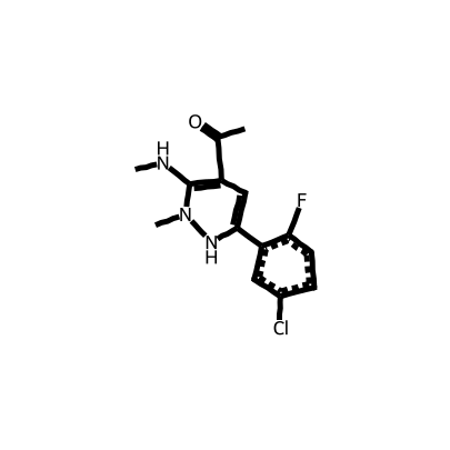 CNC1=C(C(C)=O)C=C(c2cc(Cl)ccc2F)NN1C